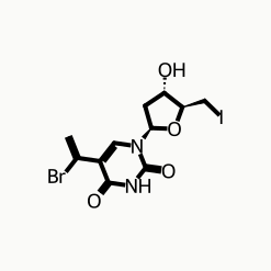 C=C(Br)c1cn([C@H]2C[C@H](O)[C@@H](CI)O2)c(=O)[nH]c1=O